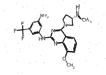 CN[C@H]1CCN(c2nc(Nc3cc(N)cc(C(F)(F)F)c3)nc3c(OC)cccc23)C1